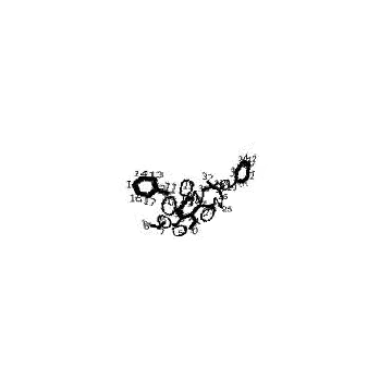 C=Cc1c(C(=O)OCC)c(OCc2ccccc2)c(=O)n2c1C(=O)N(C)CC(OCc1ccccc1)C(C)(C)C2